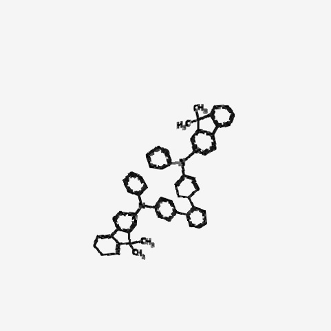 CC1(C)C2=CCCC=C2c2ccc(N(c3ccccc3)c3ccc(-c4ccccc4C4C=CC(N(c5ccccc5)c5ccc6c(c5)C(C)(C)c5ccccc5-6)=CC4)cc3)cc21